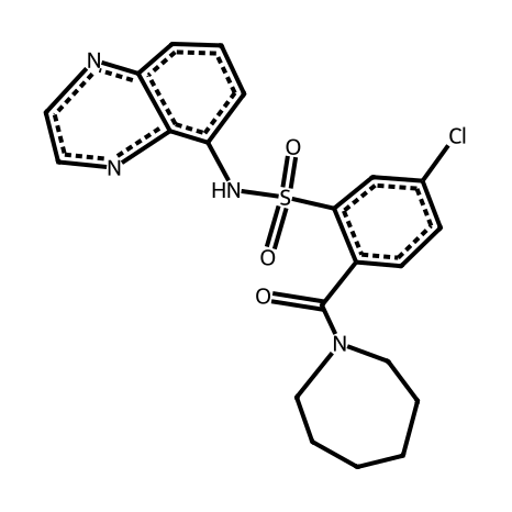 O=C(c1ccc(Cl)cc1S(=O)(=O)Nc1cccc2nccnc12)N1CCCCCC1